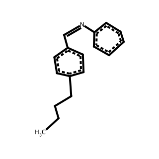 CCCCc1ccc(/C=N\c2ccccc2)cc1